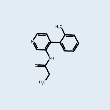 CCC(=O)Nc1cnccc1-c1ccccc1C